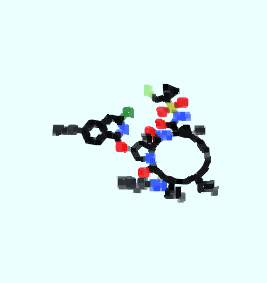 COc1ccc2c(O[C@@H]3C[C@H]4C(=O)N[C@]5(C(=O)NS(=O)(=O)C6(CF)CC6)C[C@H]5C=CCC[C@@H](C)C[C@@H](C)[C@H](NC(=O)O)C(=O)N4C3)nc(Cl)cc2c1